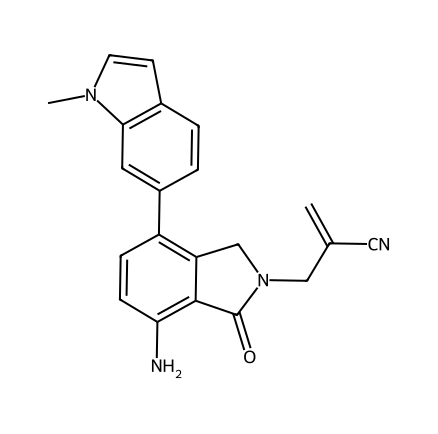 C=C(C#N)CN1Cc2c(-c3ccc4ccn(C)c4c3)ccc(N)c2C1=O